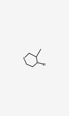 CCN1CCSCC1C